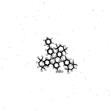 CCCCc1cc2c3c(c1)N(c1cc4c(cc1C)C(C)(C)CCC4(C)C)c1cc4c(cc1B3N(c1ccc(-c3ccccc3)cc1)c1cc3c(cc1-2)C(C)(C)CCC3(C)C)C(C)(C)CCC4(C)C